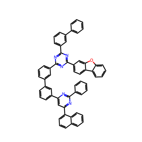 c1ccc(-c2cccc(-c3nc(-c4cccc(-c5cccc(-c6cc(-c7cccc8ccccc78)nc(-c7ccccc7)n6)c5)c4)nc(-c4ccc5c(c4)oc4ccccc45)n3)c2)cc1